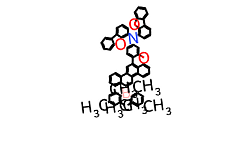 Cc1cc(C)c(B(c2c(C)cc(C)cc2C)c2cc3c4cccc5c4c(cc3c3ccccc23)-c2ccc(N(c3cccc4c3oc3ccccc34)c3cccc4c3oc3ccccc34)cc2O5)c(C)c1